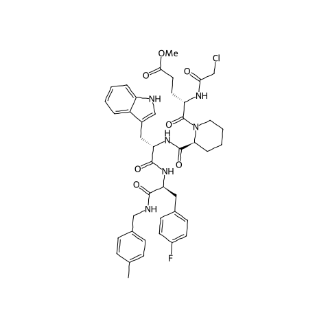 COC(=O)CC[C@H](NC(=O)CCl)C(=O)N1CCCC[C@H]1C(=O)N[C@@H](Cc1c[nH]c2ccccc12)C(=O)N[C@@H](Cc1ccc(F)cc1)C(=O)NCc1ccc(C)cc1